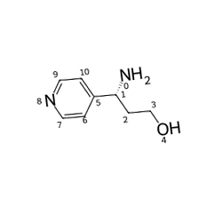 N[C@H](CCO)c1ccncc1